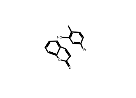 Cc1ccc(C(C)C)cc1O.O=c1ccc2ccccc2o1